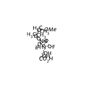 COCCC(C)(C)OCCC(C)(C)Oc1ccc(NC(=O)c2c(-c3ccccc3)c(-c3ccc(F)cc3)n(CC[C@@H](O)C[C@@H](O)CC(=O)O)c2C(C)C)cc1